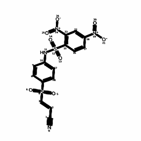 N#C/C=C/S(=O)(=O)c1ccc(NS(=O)(=O)c2ccc([N+](=O)[O-])cc2[N+](=O)[O-])cc1